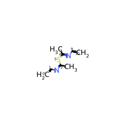 C=CN=C(C)SC(C)=NC=C